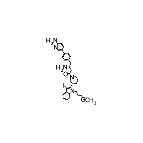 COCCCn1c(C2CCCN(C(=O)C[C@H](N)Cc3ccc(-c4ccc(N)nc4)cc3)C2)c(I)c2ccccc21